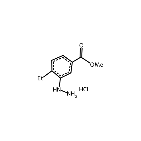 CCc1ccc(C(=O)OC)cc1NN.Cl